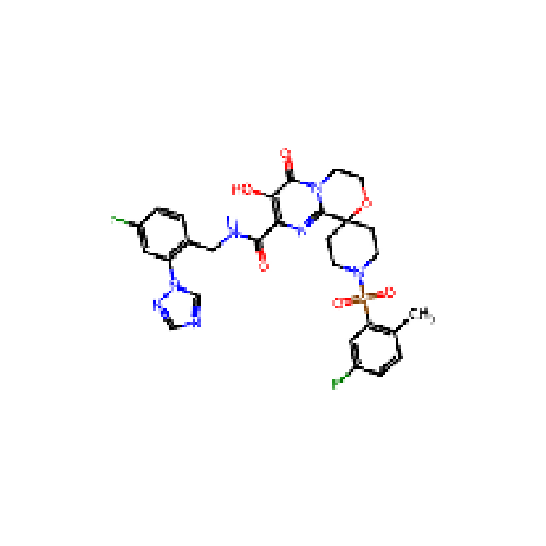 Cc1ccc(F)cc1S(=O)(=O)N1CCC2(CC1)OCCn1c2nc(C(=O)NCc2ccc(F)cc2-n2cncn2)c(O)c1=O